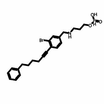 O=[PH](O)OCCCNCc1ccc(C#CCCCCc2ccccc2)c(Br)c1